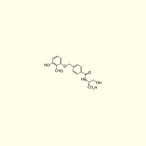 O=Cc1c(O)cccc1OCc1ccc(C(=O)N[C@@H](CO)C(=O)O)cc1